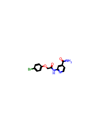 NC(=O)c1ccnc(NC(=O)COc2ccc(Br)cc2)c1